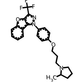 CC1CCCN1CCCOc1ccc(-n2nc(C(F)(F)F)c3oc4ccccc4c32)cc1